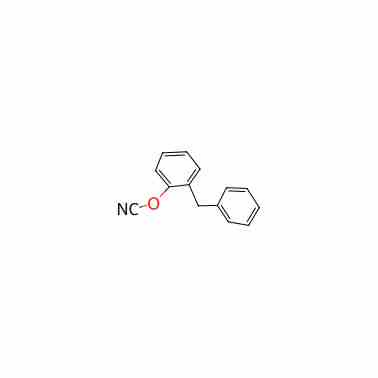 N#COc1ccccc1Cc1ccccc1